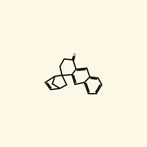 O=C1CCC2(CC3C=CC2C3)c2cc3ccccc3cc21